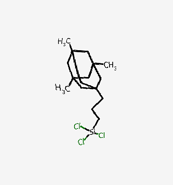 CC12CC3(C)CC(C)(C1)CC(CCC[Si](Cl)(Cl)Cl)(C2)C3